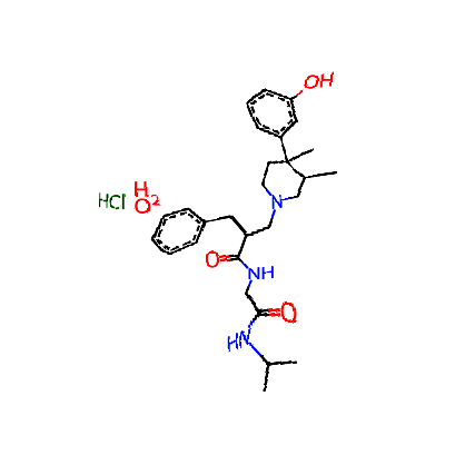 CC(C)NC(=O)CNC(=O)C(Cc1ccccc1)CN1CCC(C)(c2cccc(O)c2)C(C)C1.Cl.O